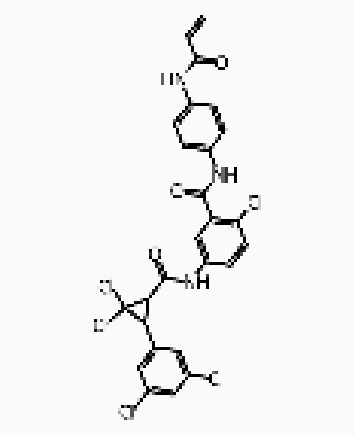 C=CC(=O)Nc1ccc(NC(=O)c2cc(NC(=O)C3C(c4cc(Cl)cc(Cl)c4)C3(Cl)Cl)ccc2Cl)cc1